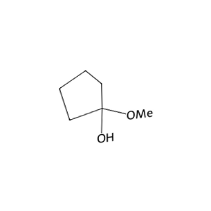 COC1(O)CCCC1